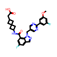 COc1cc(F)cc(-c2ncc(Cn3ncc4cc(F)cc(C(=O)NC5CC6(CC(CC(=O)O)C6)C5)c43)cn2)c1